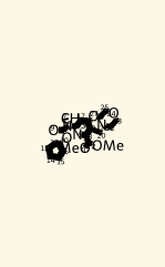 COC(OC)c1nc(N(C)C(=O)Oc2ccccc2)ccc1CN1CCOCC1=O